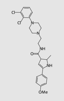 COc1ccc(C2=CC(C(=O)NCCN3CCN(c4cccc(Cl)c4Cl)CC3)C(C)N2)cc1